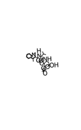 Cc1c(C(=O)N[C@H](C(=O)NC(CC(=O)O)C(=O)COP(C)(C)=O)C(C)C)n(C)c2ccccc12